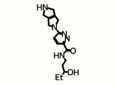 CCC(O)CCNC(=O)c1ccc(N2CC3=C(CNC3)C2)nn1